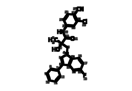 C[C@](O)(Cn1cc(-c2ccccc2)c2cc(F)ccc21)C(=O)Nc1ccc(C#N)c(Cl)c1